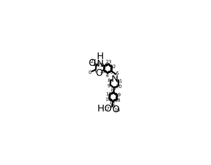 CC1Oc2cc(CN3CCC(c4ccc(C(=O)O)cc4)CC3)ccc2NC1=O